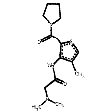 Cc1csc(C(=O)N2CCCC2)c1NC(=O)CN(C)C